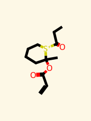 C=CC(=O)OC1(C)CCCC[S+]1C(=O)CC